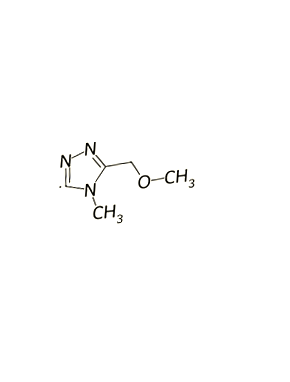 COCc1nn[c]n1C